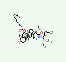 CCCCCCCC(=O)O[C@@H]1C[C@@H]2CC(=O)CC[C@]2(C)[C@H]2CC[C@]3(C)C([C@H](C)CC(=O)NC(c4ccc(Cl)s4)C(C)C)CC[C@H]3[C@H]12